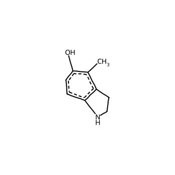 Cc1c(O)ccc2c1CCN2